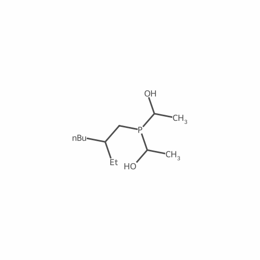 CCCCC(CC)CP(C(C)O)C(C)O